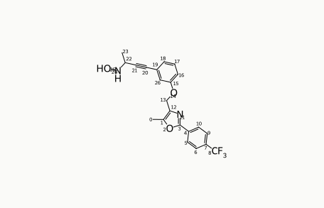 Cc1oc(-c2ccc(C(F)(F)F)cc2)nc1COc1cccc(C#CC(C)NO)c1